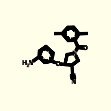 Cc1ccc(C)c(C(=O)N2CC(C#N)C(Oc3cccc(N)c3)C2)c1